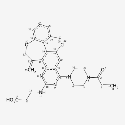 C=CC(=O)N1CCN(c2nc(NCCC(=O)O)nc3c4c(c(Cl)cc23)-c2c(F)cccc2OCC4=C)CC1